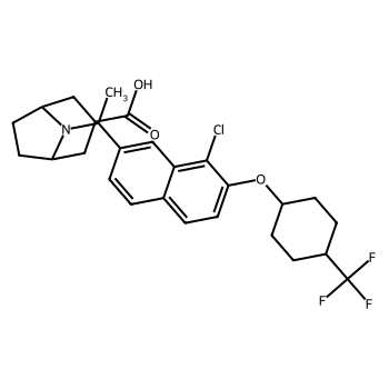 CC(c1ccc2ccc(OC3CCC(C(F)(F)F)CC3)c(Cl)c2c1)N1C2CCC1CC(C(=O)O)C2